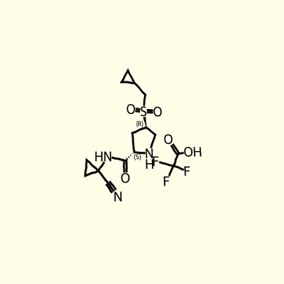 N#CC1(NC(=O)[C@@H]2C[C@@H](S(=O)(=O)CC3CC3)CN2)CC1.O=C(O)C(F)(F)F